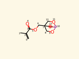 C=C(C)C(=O)OCC12COP(OC1)OC2